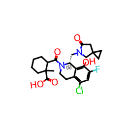 CC1(C(=O)O)CCCCC1C(=O)N1CCc2c(Cl)cc(F)c(O)c2[C@H]1CN1CC2(CC2)CC1=O